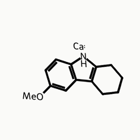 COc1ccc2[nH]c3c(c2c1)CCCC3.[Ca]